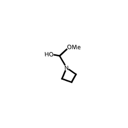 COC(O)N1CCC1